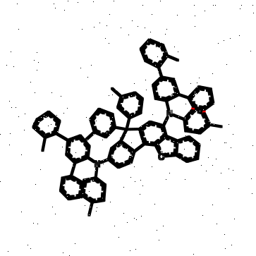 Cc1ccc(N(c2ccc3c(c2)C(c2cccc(C)c2)(c2cccc(C)c2)c2cc(N(c4ccc(C)cc4)c4ccc(-c5ccccc5C)cc4-c4ccccc4)c4c(oc5ccccc54)c2-3)c2ccc(-c3ccccc3C)cc2-c2ccccc2)cc1